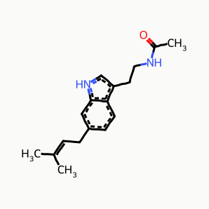 CC(=O)NCCc1c[nH]c2cc(CC=C(C)C)ccc12